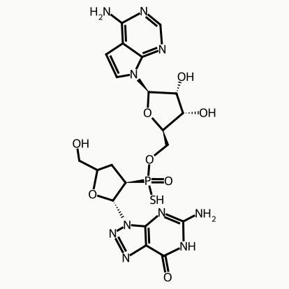 Nc1nc2c(nnn2[C@@H]2OC(CO)C[C@H]2P(=O)(S)OC[C@H]2O[C@@H](n3ccc4c(N)ncnc43)[C@H](O)[C@@H]2O)c(=O)[nH]1